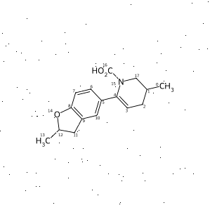 CC1CC=C(c2ccc3c(c2)CC(C)O3)N(C(=O)O)C1